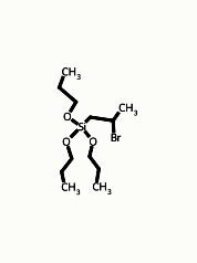 CCCO[Si](CC(C)Br)(OCCC)OCCC